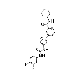 O=C(NC1CCCCC1)c1cc(-c2cc(NC(=S)Nc3ccc(F)c(F)c3)cs2)ccn1